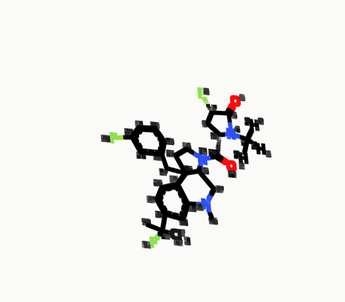 [2H]C([2H])([2H])N1C(=O)[C@@H](F)C[C@H]1C(=O)N1CCC2(Cc3cccc(F)c3)c3ccc(C(C)(F)C(F)(F)F)cc3N(C)CC12